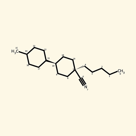 CCCCC[C@]1(C#N)CC[C@@H](C2CCC(C)CC2)CC1